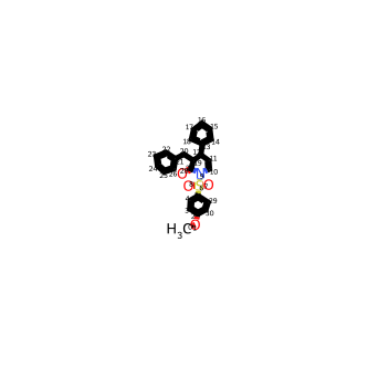 COc1ccc(S(=O)(=O)N2C=CC(c3ccccc3)C(Cc3ccccc3)C2=O)cc1